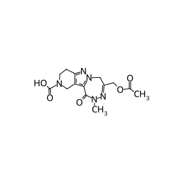 CC(=O)OCC1=NN(C)C(=O)c2c3c(nn2C1)CCN(C(=O)O)C3